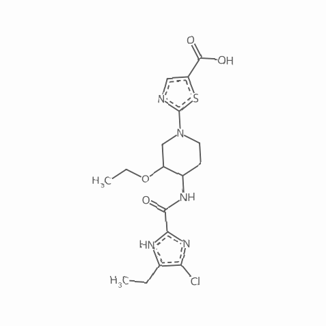 CCOC1CN(c2ncc(C(=O)O)s2)CCC1NC(=O)c1nc(Cl)c(CC)[nH]1